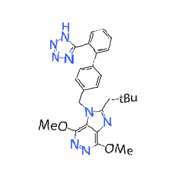 COc1nnc(OC)c2c1nc(CC(C)(C)C)n2Cc1ccc(-c2ccccc2-c2nnn[nH]2)cc1